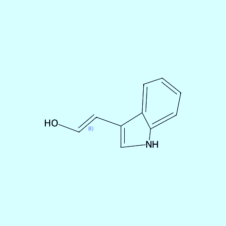 O/C=C/c1c[nH]c2ccccc12